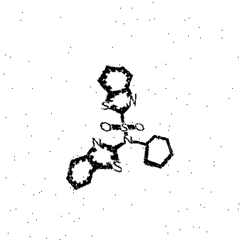 O=S(=O)(c1nc2ccccc2s1)N(c1nc2ccccc2s1)C1CCCCC1